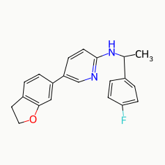 CC(Nc1ccc(-c2ccc3c(c2)OCC3)cn1)c1ccc(F)cc1